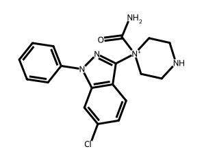 NC(=O)[N+]1(c2nn(-c3ccccc3)c3cc(Cl)ccc23)CCNCC1